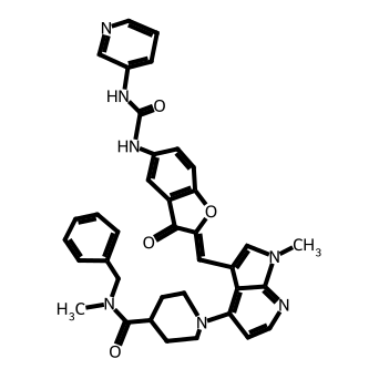 CN(Cc1ccccc1)C(=O)C1CCN(c2ccnc3c2c(/C=C2\Oc4ccc(NC(=O)Nc5cccnc5)cc4C2=O)cn3C)CC1